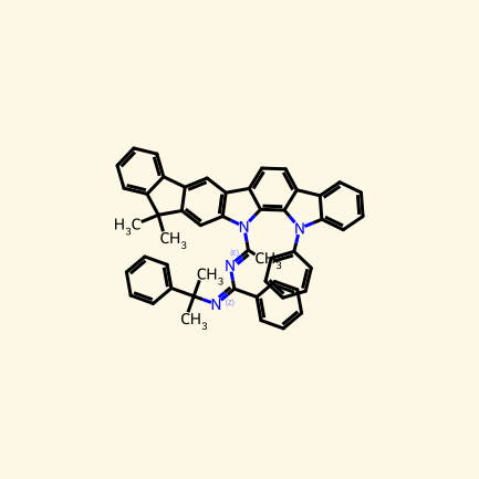 C/C(=N\C(=N/C(C)(C)c1ccccc1)c1ccccc1)n1c2cc3c(cc2c2ccc4c5ccccc5n(-c5ccccc5)c4c21)-c1ccccc1C3(C)C